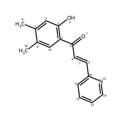 Cc1cc(O)c(C(=O)/C=C/c2ccccn2)cc1C